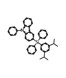 CC(C)c1cc(C(C)C)cc([Si](c2ccccc2)(c2ccccc2)c2ccc3c(c2)c2ccccc2n3-c2ccccc2)c1